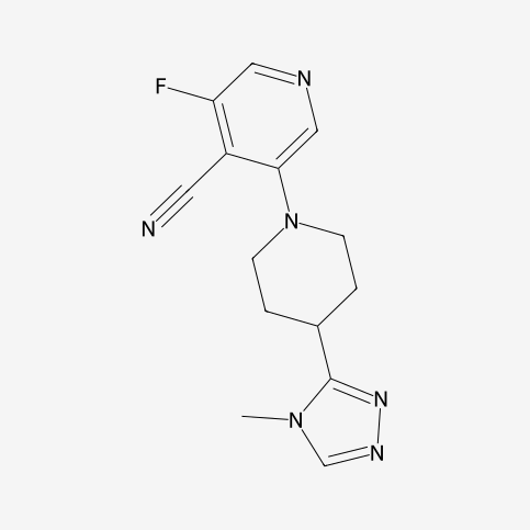 Cn1cnnc1C1CCN(c2cncc(F)c2C#N)CC1